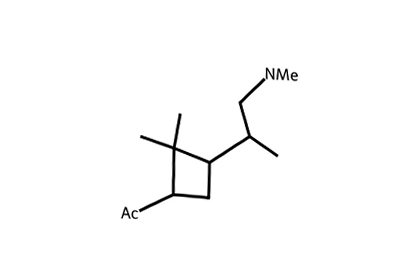 CNCC(C)C1CC(C(C)=O)C1(C)C